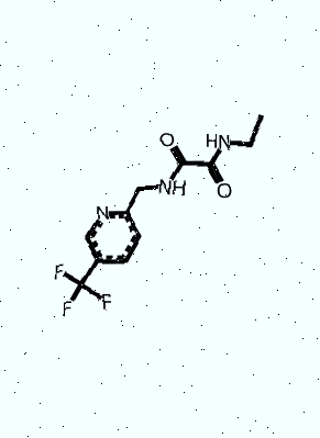 CCNC(=O)C(=O)NCc1ccc(C(F)(F)F)cn1